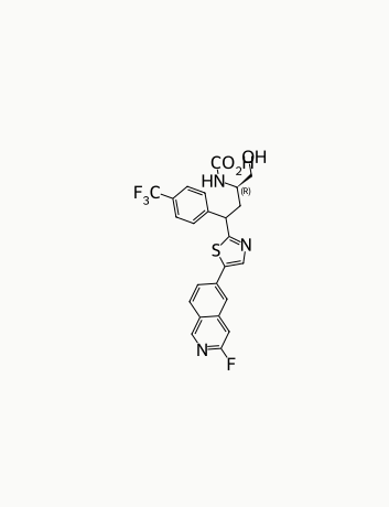 O=C(O)N[C@@H](CO)CC(c1ccc(C(F)(F)F)cc1)c1ncc(-c2ccc3cnc(F)cc3c2)s1